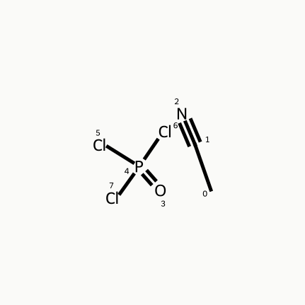 CC#N.O=P(Cl)(Cl)Cl